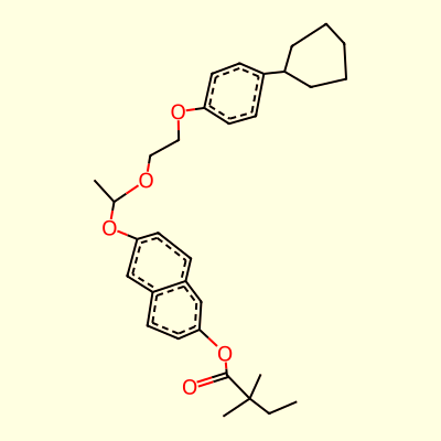 CCC(C)(C)C(=O)Oc1ccc2cc(OC(C)OCCOc3ccc(C4CCCCC4)cc3)ccc2c1